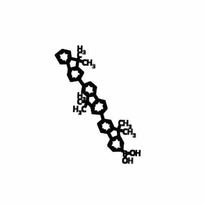 CC1(C)c2ccccc2-c2ccc(-c3ccc4c(c3)C(C)(C)c3cc(-c5ccc6c(c5)C(C)(C)c5cc(B(O)O)ccc5-6)ccc3-4)cc21